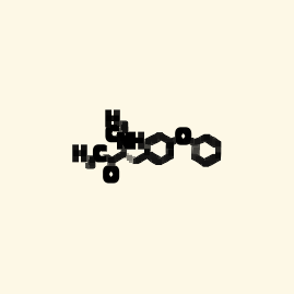 CN[C@H](Cc1ccc(Oc2ccccc2)cc1)C(C)=O